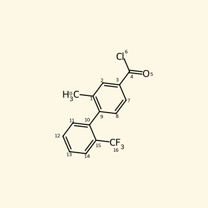 Cc1cc(C(=O)Cl)ccc1-c1ccccc1C(F)(F)F